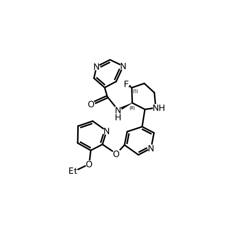 CCOc1cccnc1Oc1cncc(C2NCC[C@H](F)[C@@H]2NC(=O)c2cncnc2)c1